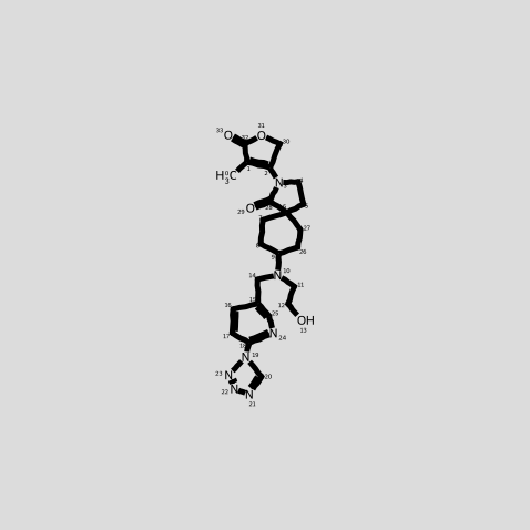 CC1=C(N2CCC3(CCC(N(CCO)Cc4ccc(-n5cnnn5)nc4)CC3)C2=O)COC1=O